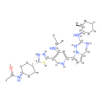 CC(=O)N[C@H]1CC[C@H](c2nnc(-c3cnc(-c4ccc5cnc(N[C@@H]6CCCC[C@@H]6C)nn45)cc3NC(C)C)s2)CC1